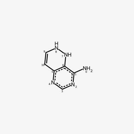 Nc1ncnc2c1NNC=C2